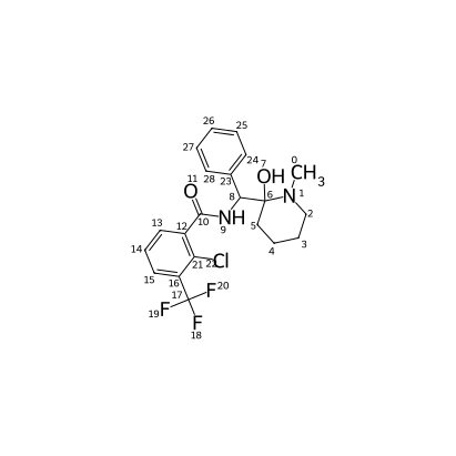 CN1CCCCC1(O)C(NC(=O)c1cccc(C(F)(F)F)c1Cl)c1ccccc1